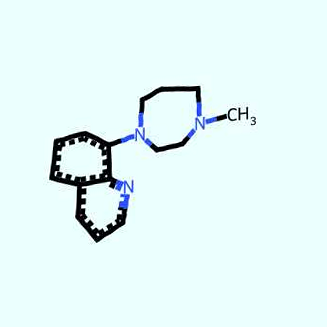 CN1CCCN(c2cccc3cccnc23)CC1